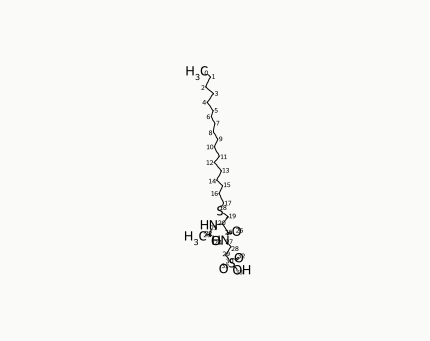 CCCCCCCCCCCCCCCCCCSC[C@H](NC(C)=O)C(=O)NCCS(=O)(=O)O